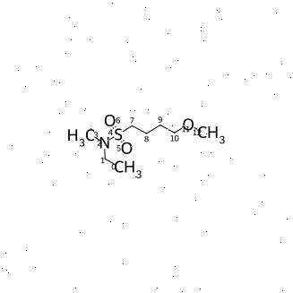 CCN(C)S(=O)(=O)CCCCOC